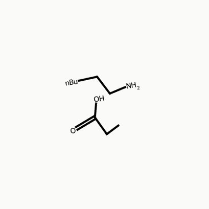 CCC(=O)O.CCCCCCN